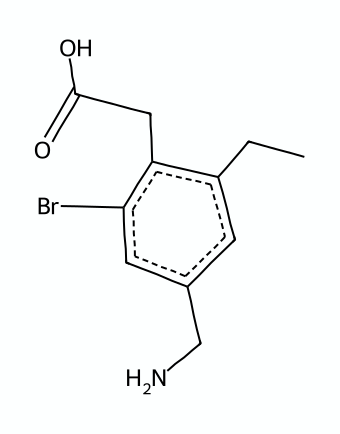 CCc1cc(CN)cc(Br)c1CC(=O)O